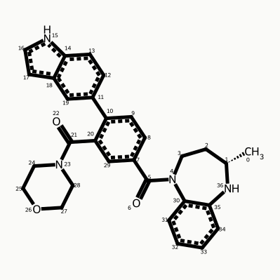 C[C@H]1CCN(C(=O)c2ccc(-c3ccc4[nH]ccc4c3)c(C(=O)N3CCOCC3)c2)c2ccccc2N1